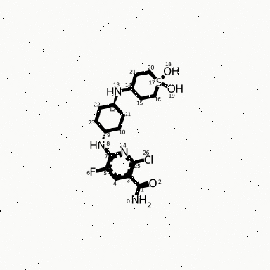 NC(=O)c1cc(F)c(N[C@H]2CC[C@H](NC3CCS(O)(O)CC3)CC2)nc1Cl